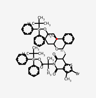 CCc1ccccc1[C@H](CC1C(=O)N(C(C)(C)C(=O)O[Si](c2ccccc2)(c2ccccc2)C(C)(C)C)C(=O)c2c1sc(Br)c2C)OC1CCC(O[Si](c2ccccc2)(c2ccccc2)C(C)(C)C)CC1